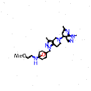 COCCNC12CCC(Cn3nc(C)c4c3CCN(c3cc(C)nc5c3cnn5C)C4)(CC1)OC2